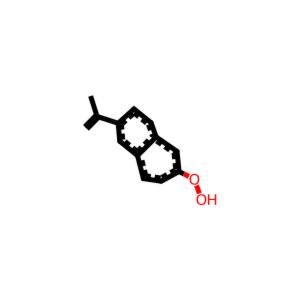 C=C(C)c1ccc2cc(OO)ccc2c1